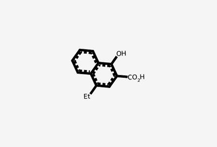 CCc1cc(C(=O)O)c(O)c2ccccc12